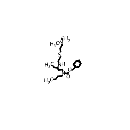 CCCCN(CCC(CC)NCCSCCCN(C)C)C(=O)OCc1ccccc1